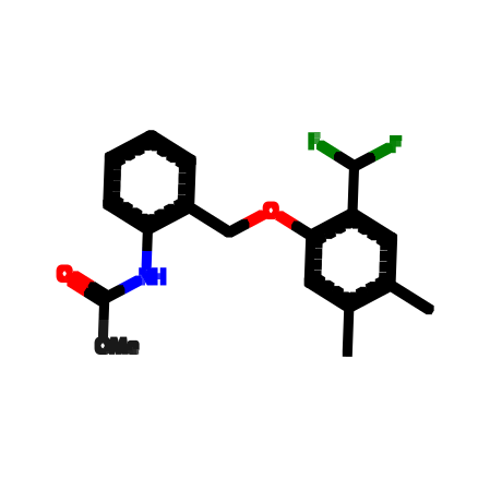 COC(=O)Nc1ccccc1COc1cc(C)c(C)cc1C(F)F